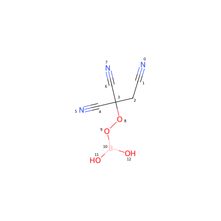 N#CCC(C#N)(C#N)OOB(O)O